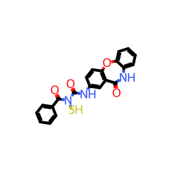 O=C1Nc2ccccc2Oc2ccc(NC(=O)N(S)C(=O)c3ccccc3)cc21